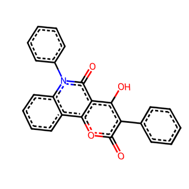 O=c1oc2c(c(O)c1-c1ccccc1)c(=O)n(-c1ccccc1)c1ccccc21